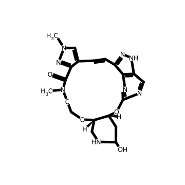 CN1CCO[C@H]2CNC(O)C[C@H]2Oc2ncc3[nH]nc(c3n2)/C=C/c2cn(C)nc2C1=O